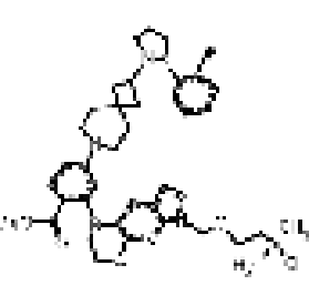 COC(=O)c1ccc(N2CCC3(CC2)CC(N2CCC[C@H]2c2ccccc2C(C)C)C3)cc1N1CCOc2nc3c(ccn3COCC[Si](C)(C)C)cc21